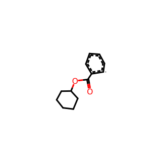 O=C(OC1CCCCC1)c1[c]cccc1